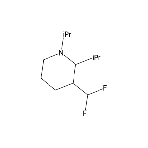 CC(C)C1C(C(F)F)CCCN1C(C)C